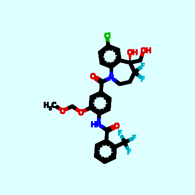 COCOc1cc(C(=O)N2CCC(F)(F)[C@](O)(CO)c3cc(Cl)ccc32)ccc1NC(=O)c1ccccc1C(F)(F)F